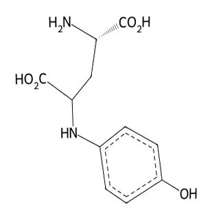 N[C@@H](CC(Nc1ccc(O)cc1)C(=O)O)C(=O)O